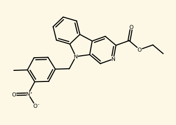 CCOC(=O)c1cc2c3ccccc3n(Cc3ccc(C)c([N+](=O)[O-])c3)c2cn1